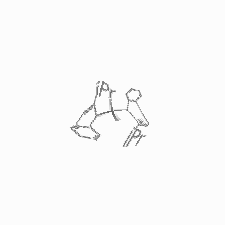 CC(C)C1=Cc2ccccc2C1C(C)(C)C1C(C(C)C)=Cc2ccccc21